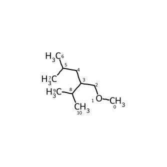 COCC(CC(C)C)C(C)C